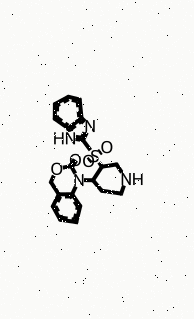 O=C1OCc2ccccc2N1C1CCNCC1S(=O)(=O)c1nc2ccccc2[nH]1